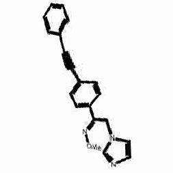 CO/N=C(\Cn1ccnc1)c1ccc(C#Cc2ccccc2)cc1